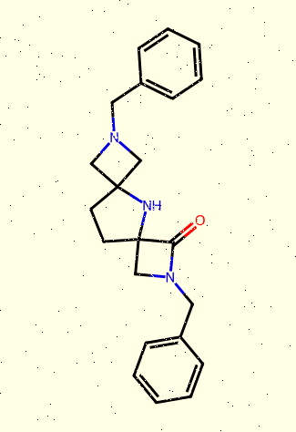 O=C1N(Cc2ccccc2)CC12CCC1(CN(Cc3ccccc3)C1)N2